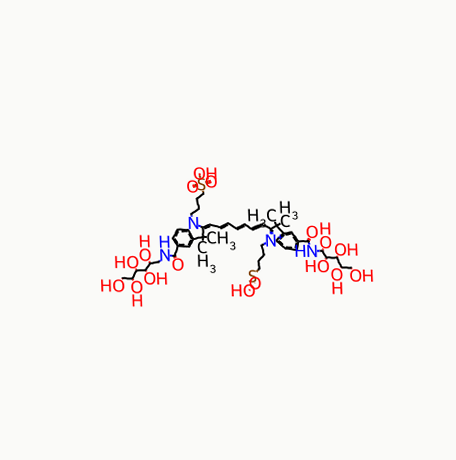 CC1(C)C(/C=C/C=C/C=C/C=C2/N(CCCCS(=O)(=O)O)c3ccc(C(=O)NCC(O)C(O)C(O)C(O)CO)cc3C2(C)C)=[N+](CCCCSOO)c2ccc(C(=O)NC(O)C(O)C(O)C(O)CO)cc21